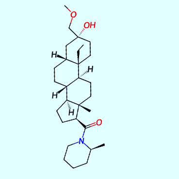 CC[C@]12CC[C@](O)(COC)C[C@H]1CC[C@H]1[C@@H]3CC[C@H](C(=O)N4CCCC[C@@H]4C)[C@@]3(C)CC[C@@H]12